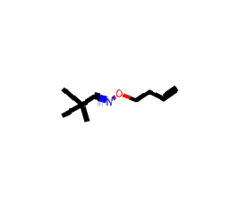 C=CCCO/N=[C]/C(C)(C)C